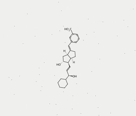 O=C(O)c1cccc(C=C2CC[C@H]3[C@@H](/C=C/[C@@H](O)C4CCCCC4)[C@H](O)C[C@@H]23)c1